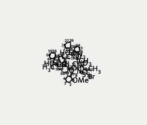 COc1ccccc1[C@H](Cn1c(=O)n(C(C)(C)C(=O)CC(C)(C)[Si](O)(c2ccccc2)c2ccccc2)c(=O)c2c(C)c(Br)sc21)OC1CCC(CC(C)(C)[Si](O)(c2ccccc2)c2ccccc2)CC1